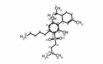 C=C(C)C1CCC(C)=CC1c1c(O)cc(CCCCC)c(S(=O)(=O)CCN(C)C)c1O